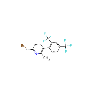 Cc1nc(CBr)ccc1-c1ccc(C(F)(F)F)cc1C(F)(F)F